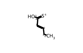 CCC=CC(O)=S